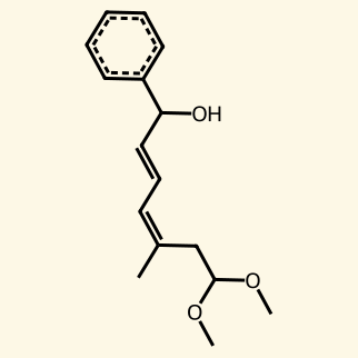 COC(CC(C)=CC=CC(O)c1ccccc1)OC